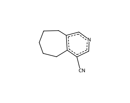 N#Cc1cncc2c1CCCCC2